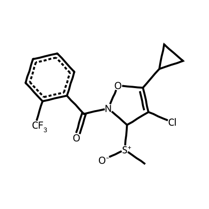 C[S+]([O-])C1C(Cl)=C(C2CC2)ON1C(=O)c1ccccc1C(F)(F)F